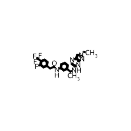 CCn1cc2ncc(N[C@@H](C)c3cccc(NC(=O)Cc4ccc(C(F)(F)F)c(F)c4)c3)nc2n1